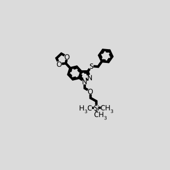 C[Si](C)(C)CCOCn1nc(SCc2ccccc2)c2cc(C3OCCO3)ccc21